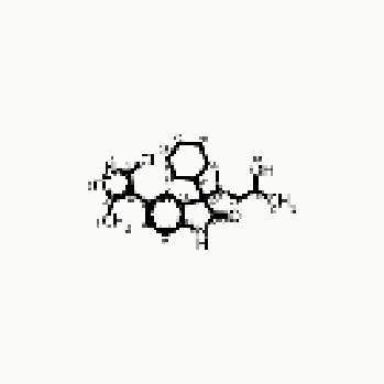 Cc1noc(C)c1-c1ccc2c(c1)C(NCC(C)O)(C1CCCCC1)C(=O)N2